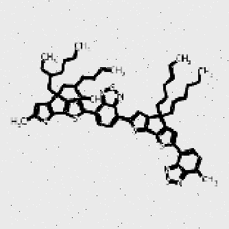 CCCCCCC1(CCCCCC)c2cc(-c3ccc(C)c4nsnc34)sc2-c2sc(-c3ccc(-c4cc5c(s4)-c4sc(C)cc4C5(CC(CC)CCCC)CC(CC)CCCC)c4nsnc34)cc21